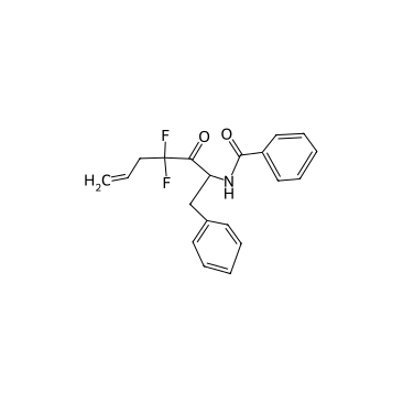 C=CCC(F)(F)C(=O)C(Cc1ccccc1)NC(=O)c1ccccc1